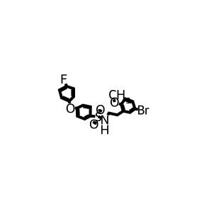 COc1ccc(Br)cc1CCNS(=O)(=O)c1ccc(Oc2ccc(F)cc2)cc1